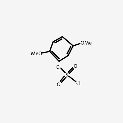 COc1ccc(OC)cc1.O=S(=O)(Cl)Cl